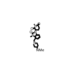 CNC1CCN(Cc2cccc3c2n(C)c(=O)n3C2CCC(=O)N(C)C2=O)CC1